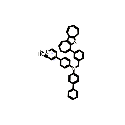 C#C/C=C(\C=C/C)C1C=CC(N(Cc2cccc(C3=CCC=Cc4c3sc3c4C=CC=CC3)c2)c2ccc(-c3ccccc3)cc2)=CC1